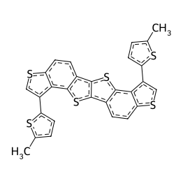 Cc1ccc(-c2csc3ccc4c5sc6c(ccc7scc(-c8ccc(C)s8)c76)c5sc4c23)s1